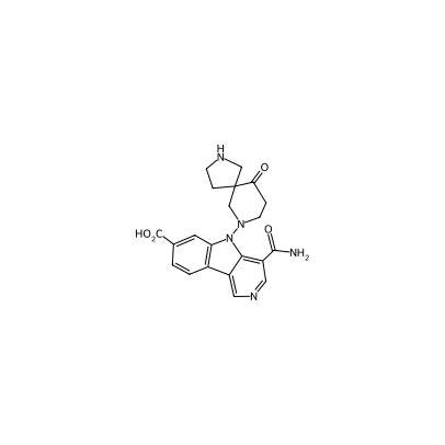 NC(=O)c1cncc2c3ccc(C(=O)O)cc3n(N3CCC(=O)C4(CCNC4)C3)c12